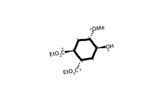 CCOC(=O)[C@H]1C[C@H](OC)[C@@H](O)C[C@@H]1C(=O)OCC